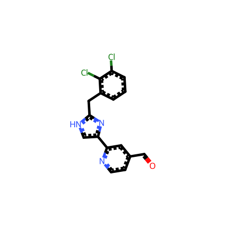 O=Cc1ccnc(-c2c[nH]c(Cc3cccc(Cl)c3Cl)n2)c1